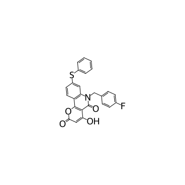 O=c1cc(O)c2c(=O)n(Cc3ccc(F)cc3)c3cc(Sc4ccccc4)ccc3c2o1